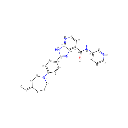 C/C=C1/CCCN(c2ccc(-c3nc4c(C(=O)Nc5cccnc5)ccnc4[nH]3)cc2)CC1